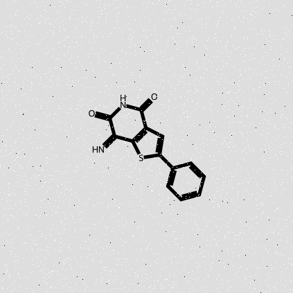 N=C1C(=O)NC(=O)c2cc(-c3ccccc3)sc21